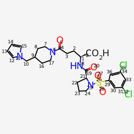 O=C(O)[C@H](CCC(=O)N1CCC(Cn2cccc2)CC1)NC(=O)[C@@H]1CCCN1S(=O)(=O)c1cc(Cl)cc(Cl)c1